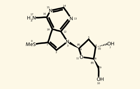 CSc1cn([C@H]2C[C@H](O)[C@@H](CO)O2)c2ncnc(N)c12